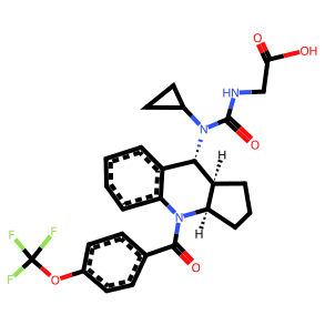 O=C(O)CNC(=O)N(C1CC1)[C@H]1c2ccccc2N(C(=O)c2ccc(OC(F)(F)F)cc2)[C@@H]2CCC[C@@H]21